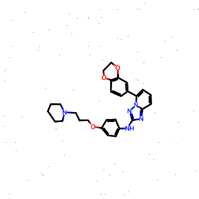 c1cc(-c2ccc3c(c2)OCCO3)n2nc(Nc3ccc(OCCCN4CCCCC4)cc3)nc2c1